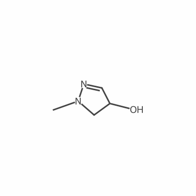 CN1CC(O)C=N1